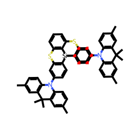 Cc1ccc2c(c1)C(C)(C)c1cc(C)ccc1N2c1ccc2c(c1)Sc1cccc3c1[Si]2(c1ccccc1)c1ccc(N2c4ccc(C)cc4C(C)(C)c4cc(C)ccc42)cc1S3